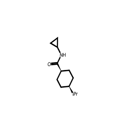 CC(C)[C@H]1CC[C@@H](C(=O)NC2CC2)CC1